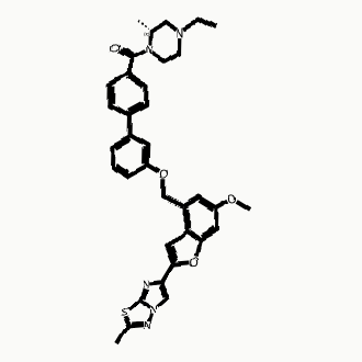 CCN1CCN(C(=O)c2ccc(-c3cccc(OCc4cc(OC)cc5oc(-c6cn7nc(C)sc7n6)cc45)c3)cc2)[C@H](C)C1